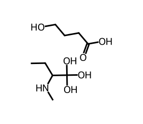 CCC(NC)C(O)(O)O.O=C(O)CCCO